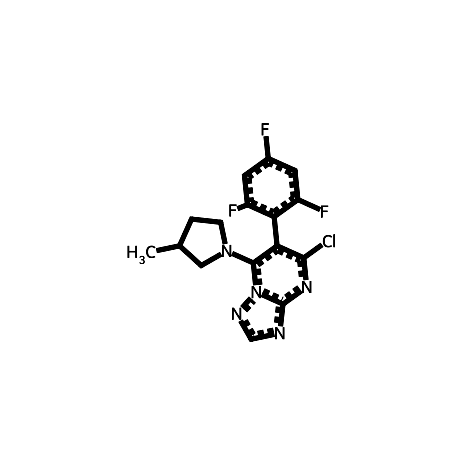 CC1CCN(c2c(-c3c(F)cc(F)cc3F)c(Cl)nc3ncnn23)C1